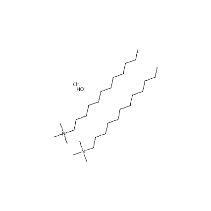 CCCCCCCCCCCC[N+](C)(C)C.CCCCCCCCCCCC[N+](C)(C)C.[Cl-].[OH-]